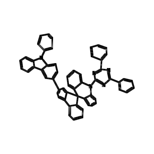 c1ccc(-c2nc(-c3ccccc3)nc(N3c4ccccc4C4(c5ccccc5-c5ccc(-c6ccc7c(c6)c6ccccc6n7-c6ccccc6)cc54)c4ccccc43)n2)cc1